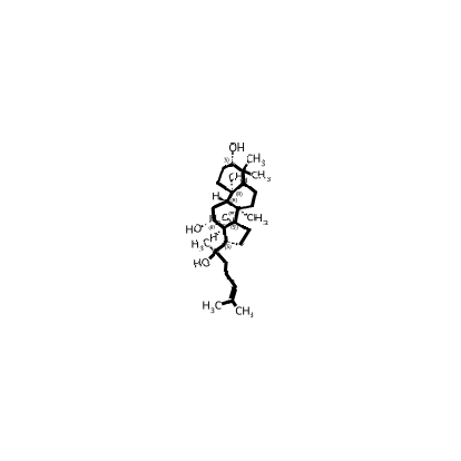 CC(C)=CCC[C@@](C)(O)[C@H]1CC[C@@]2(C)[C@@H]1[C@H](O)C[C@@H]1[C@@]3(C)CC[C@H](O)C(C)(C)C3CC[C@]12C